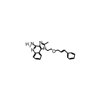 Cc1nc2c(N)nc3ccccc3c2n1CCOC/C=C/c1ccccc1